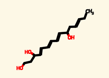 CCC=CCC(O)C=CC=CC=CC(O)CCO